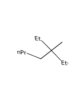 C[C]C(C)(CC)CCCC